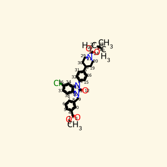 COC(=O)c1cccc(Cn2c(=O)n(-c3ccc(C4CCN(C(=O)OC(C)(C)C)CC4)cc3)c3cc(Cl)ccc32)c1